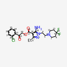 CCc1nn(CCN2CCC(F)(F)CC2)c(N)c1C(=O)OCC(=O)c1ccccc1Cl